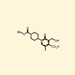 Cc1cn(C2CCN(C(=O)OC(C)(C)C)CC2)c(=O)c(CO)c1C(=O)O